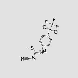 CS/C(=N\C#N)Nc1ccc(S(=O)(=O)C(F)(F)F)cc1